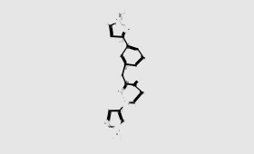 Cn1cc(-n2ccc(=O)c(Cc3cccc(-c4ccn(C)n4)c3)n2)cn1